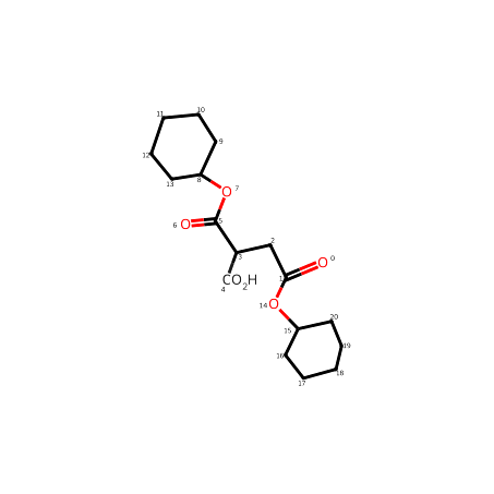 O=C(CC(C(=O)O)C(=O)OC1CCCCC1)OC1CCCCC1